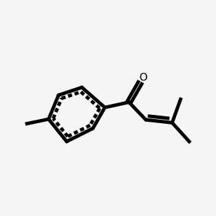 CC(C)=CC(=O)c1ccc(C)cc1